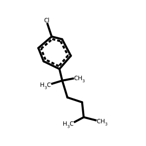 CC(C)CCC(C)(C)c1ccc(Cl)cc1